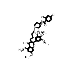 COc1cc(OC)c2c(c1)OC(c1cc(OC)c(OC)c(OC)c1)=C(CCCCON1CCC(NC(=O)c3ccc(Cl)cc3Cl)CC1)C2O